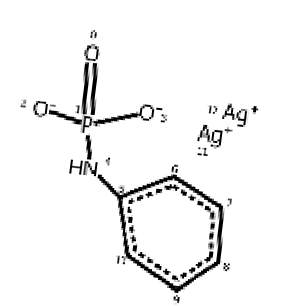 O=P([O-])([O-])Nc1ccccc1.[Ag+].[Ag+]